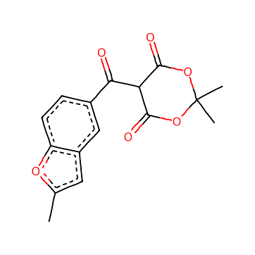 Cc1cc2cc(C(=O)C3C(=O)OC(C)(C)OC3=O)ccc2o1